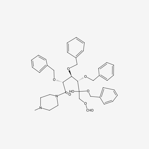 CN1CCN(C(=O)[C@H](OCc2ccccc2)[C@@H](OCc2ccccc2)[C@H](OCc2ccccc2)C(O)(COC=O)OCc2ccccc2)CC1